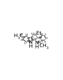 CCc1cccc([C@H](C)N[C@H]2CCCc3c2[nH]c2ccc(C)cc32)c1